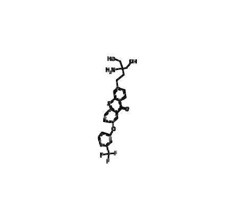 NC(CO)(CO)CCc1ccc2c(=O)c3cc(Oc4cccc(C(F)(F)F)c4)ccc3sc2c1